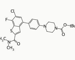 CN(C)C(=O)c1cc2c(-c3ccc(N4CCN(C(=O)OC(C)(C)C)CC4)cc3)cc(Cl)c(F)c2s1